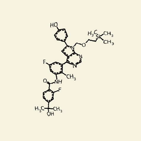 Cc1c(NC(=O)c2ccc(C(C)(C)O)cc2F)cc(F)cc1-c1ncnc2c1cc(-c1ccc(O)cc1)n2COCC[Si](C)(C)C